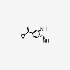 C=C(c1ccn(C=N)c(=N)c1)C1CC1